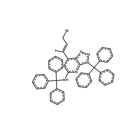 BrC/C=C(\I)c1cc(NC(c2ccccc2)(c2ccccc2)c2ccccc2)nc2c1nnn2C(c1ccccc1)(c1ccccc1)c1ccccc1